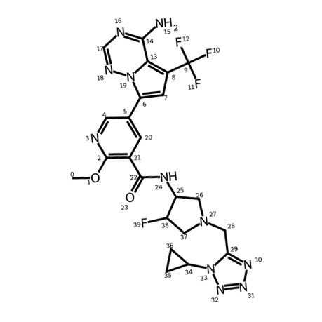 COc1ncc(-c2cc(C(F)(F)F)c3c(N)ncnn23)cc1C(=O)NC1CN(Cc2nnnn2C2CC2)CC1F